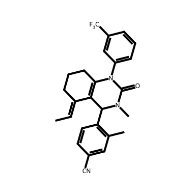 CC=C1CCCC2=C1C(c1ccc(C#N)cc1C)N(C)C(=O)N2c1cccc(C(F)(F)F)c1